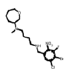 CN(CCCCNCc1cc(Cl)c(Br)c(F)c1[N+](=O)[O-])C1CCCCOC1